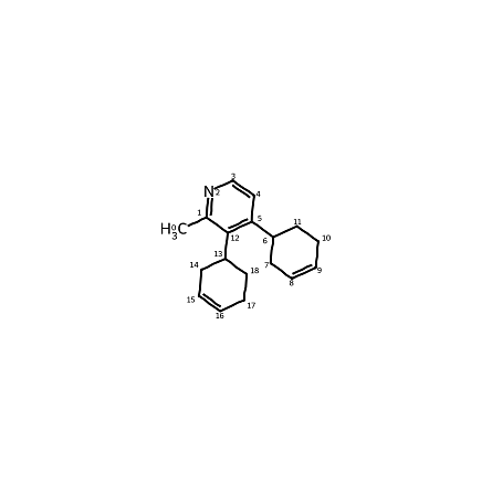 Cc1nccc(C2CC=CCC2)c1C1CC=CCC1